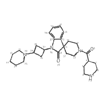 O=C(C1CCNCC1)N1CCC2(CC1)C(=O)N(C1CC(N3CCCCC3)C1)c1ccccc12